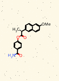 COc1ccc2cc([C@H](C)C(=O)Oc3ccc(C(N)=O)cc3)ccc2c1